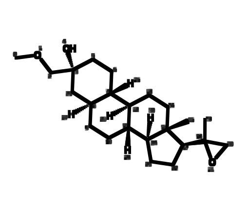 COC[C@@]1(O)CC[C@H]2[C@@H](CC[C@@H]3[C@@H]2CC[C@]2(C)[C@@H](C4(C)CO4)CC[C@@H]32)C1